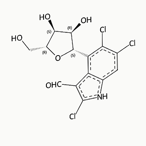 O=Cc1c(Cl)[nH]c2cc(Cl)c(Cl)c([C@@H]3O[C@H](CO)[C@@H](O)[C@H]3O)c12